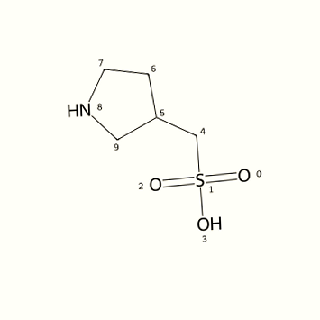 O=S(=O)(O)CC1CCNC1